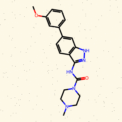 COc1cccc(-c2ccc3c(NC(=O)N4CCN(C)CC4)n[nH]c3c2)c1